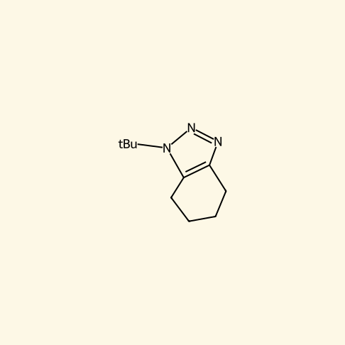 CC(C)(C)n1nnc2c1CCCC2